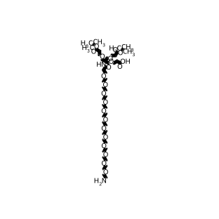 CC(C)(C)OC(=O)CCOCC(COCCC(=O)O)(COCCC(=O)OC(C)(C)C)NC(=O)CCOCCOCCOCCOCCOCCOCCOCCOCCOCCOCCOCCOCCN